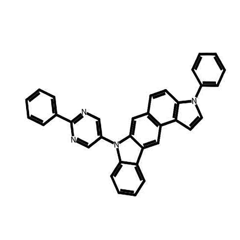 c1ccc(-c2ncc(-n3c4ccccc4c4cc5c(ccc6c5ccn6-c5ccccc5)cc43)cn2)cc1